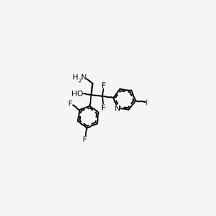 NCC(O)(c1ccc(F)cc1F)C(F)(F)c1ccc(I)cn1